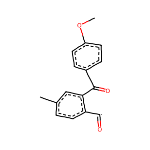 COc1ccc(C(=O)c2cc(C)ccc2[C]=O)cc1